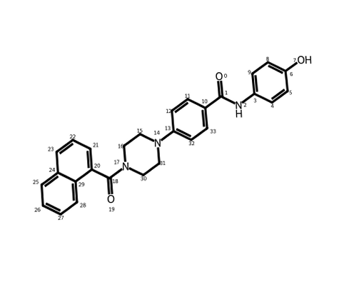 O=C(Nc1ccc(O)cc1)c1ccc(N2CCN(C(=O)c3cccc4ccccc34)CC2)cc1